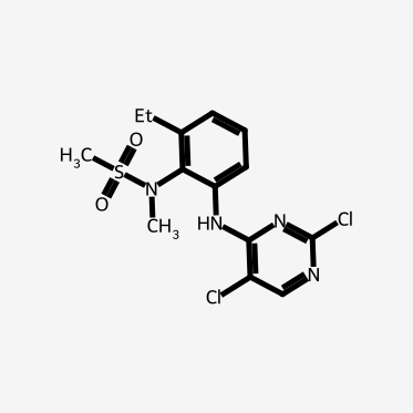 CCc1cccc(Nc2nc(Cl)ncc2Cl)c1N(C)S(C)(=O)=O